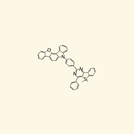 C[Si]1(C)c2ccccc2-c2nc(-c3ccc(-n4c5ccccc5c5c6oc7ccccc7c6ccc54)cc3)nc(-c3ccccc3)c21